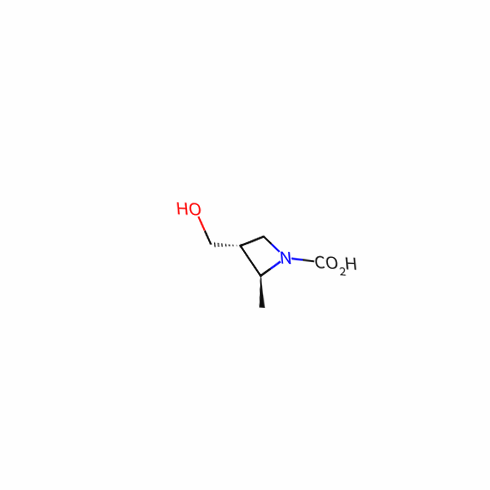 C[C@H]1[C@H](CO)CN1C(=O)O